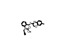 C#CCN(C(=O)OC)c1ccccc1CSC1=Nc2ccc(C)cc2OC1